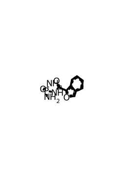 NP(N)(=O)NC(=O)c1occ2ccccc12